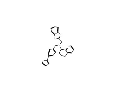 c1csc(-c2ccc(CN(Cc3nc4ccccc4[nH]3)C3CCCc4cccnc43)cc2)c1